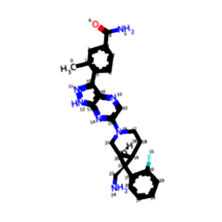 Cc1cc(C(N)=O)ccc1-c1n[nH]c2nc(N3CC[C@@H]4[C@H](C3)[C@@]4(CN)c3ccccc3F)cnc12